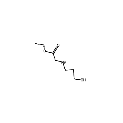 CCOC(=O)CNCCCO